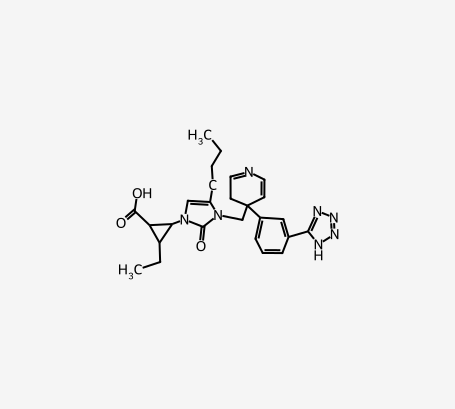 CCCCc1cn(C2C(CC)C2C(=O)O)c(=O)n1CC1(c2cccc(-c3nnn[nH]3)c2)C=CN=CC1